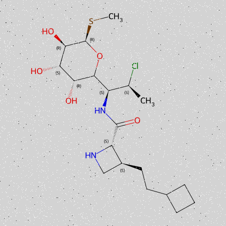 CS[C@H]1OC([C@H](NC(=O)[C@H]2NC[C@@H]2CCC2CCC2)[C@H](C)Cl)[C@H](O)[C@H](O)[C@H]1O